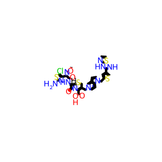 CO/N=C(\C(=O)N[C@@H]1C(=O)N2C(C(=O)O)=C(C[n+]3ccc4c(ccn4Cc4cc(C(=N)Nc5nccs5)cs4)c3)CS[C@H]12)c1nc(N)sc1Cl